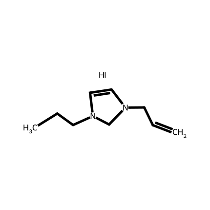 C=CCN1C=CN(CCC)C1.I